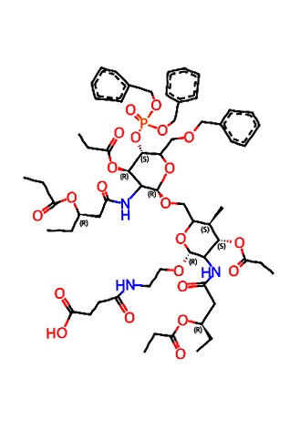 CCC(=O)O[C@H](CC)CC(=O)NC1[C@H](OCCNC(=O)CCC(=O)O)OC(CO[C@@H]2OC(COCc3ccccc3)[C@@H](OP(=O)(OCc3ccccc3)OCc3ccccc3)[C@H](OC(=O)CC)C2NC(=O)C[C@@H](CC)OC(=O)CC)[C@@H](C)[C@@H]1OC(=O)CC